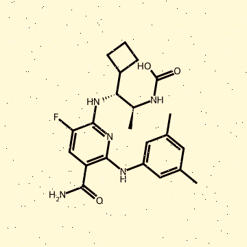 Cc1cc(C)cc(Nc2nc(N[C@H](C3CCC3)[C@H](C)NC(=O)O)c(F)cc2C(N)=O)c1